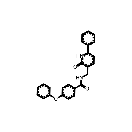 O=C(NCc1ccc(-c2ccccc2)[nH]c1=O)c1ccc(Oc2ccccc2)cc1